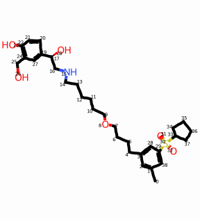 Cc1cc(CCCCOCCCCCCNC[C@H](O)c2ccc(O)c(CO)c2)cc(S(=O)(=O)C2CCCC2)c1